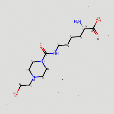 N[C@@H](CCCCNC(=O)N1CCN(CCO)CC1)C(=O)O